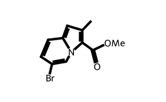 COC(=O)c1c(C)cc2ccc(Br)cn12